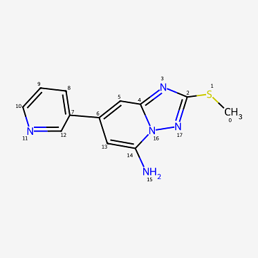 CSc1nc2cc(-c3cccnc3)cc(N)n2n1